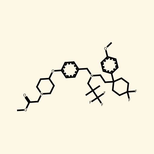 COC(=O)CN1CCC(Oc2ccc(CN(CCC3(c4ccc(OC)cc4)CCC(F)(F)CC3)CC(C)(C)C(F)(F)F)cc2)CC1